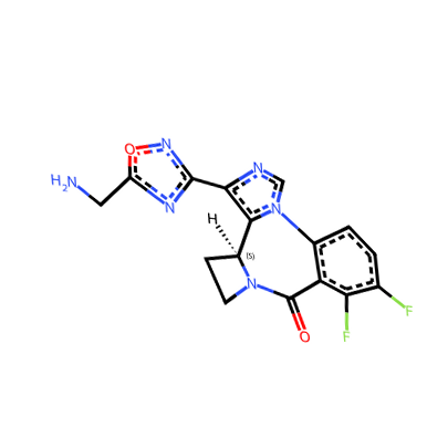 NCc1nc(-c2ncn3c2[C@@H]2CCN2C(=O)c2c-3ccc(F)c2F)no1